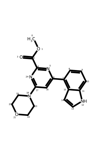 COC(=O)c1nc(-c2cccc3[nH]ccc23)cc(N2CCOCC2)n1